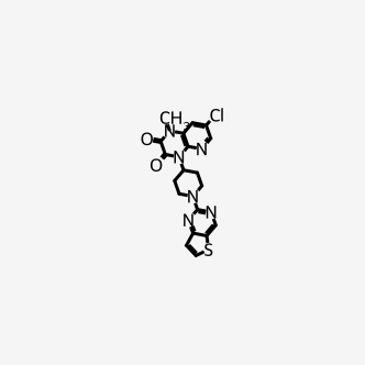 Cn1c(=O)c(=O)n(C2CCN(c3ncc4sccc4n3)CC2)c2ncc(Cl)cc21